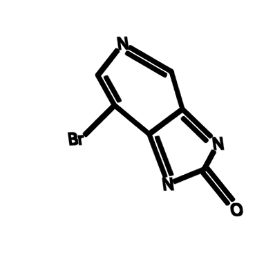 O=C1N=c2cncc(Br)c2=N1